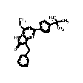 CSc1nc(-c2ccc(C(C)(C)C)cc2)nc2c(Cc3ccccc3)c(=O)[nH]n12